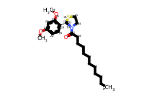 CCCCCCCCCCCC(=O)N1CCS[C@H]1c1ccc(OC)cc1OC